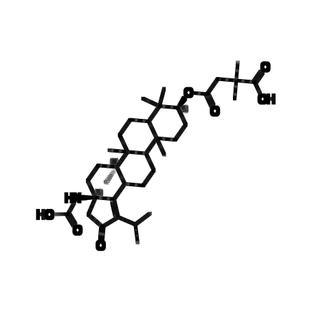 CC(C)C1=C2C3CCC4C5(C)CC[C@H](OC(=O)CC(C)(C)C(=O)O)C(C)(C)C5CCC4(C)[C@]3(C)CC[C@@]2(NC(=O)O)CC1=O